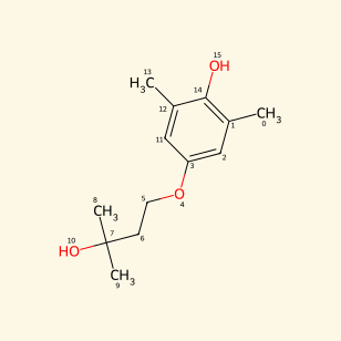 Cc1cc(OCCC(C)(C)O)cc(C)c1O